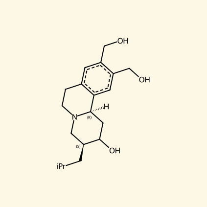 CC(C)C[C@H]1CN2CCc3cc(CO)c(CO)cc3[C@H]2CC1O